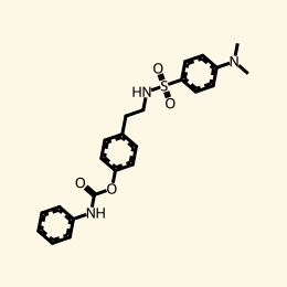 CN(C)c1ccc(S(=O)(=O)NCCc2ccc(OC(=O)Nc3ccccc3)cc2)cc1